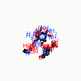 C/C1=C2N=C(/C=C3N=C(/C(C)=C4/[C@@H](CCC(N)=O)[C@](C)(CC(N)=O)[C@](C)([C@@H]5N=C1[C@](C)(CCC(=O)NCC(C)OP(=O)([O-])O[C@H]1[C@@H](O)[C@@H](n6cnc7cc(C)c(C)cc76)O[C@@H]1CO)[C@H]5CC(N)=O)[N]4[Co+][C]#N)[C@@](C)(CC(N)=O)[C@@H]\3CCC(N)=O)C(C)(C)[C@@H]/2CCC(N)=O.COC(=O)[C@H]1[C@H]2C[C@@H]3c4[nH]c5cc(OC)ccc5c4CCN3C[C@H]2C[C@@H](OC(=O)c2cc(OC)c(OC)c(OC)c2)[C@@H]1OC